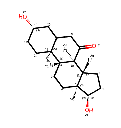 C[C@]12CC[C@H]3[C@@H](C(=O)CC4C[C@@H](O)CC[C@@]43C)[C@@H]1CC[C@H]2O